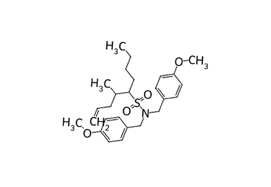 C=CCC(C)C(CCCC)S(=O)(=O)N(Cc1ccc(OC)cc1)Cc1ccc(OC)cc1